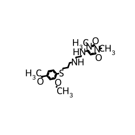 CCOc1cc(C(C)=O)ccc1SCCCNCCNc1cc(=O)n(C)c(=O)n1C